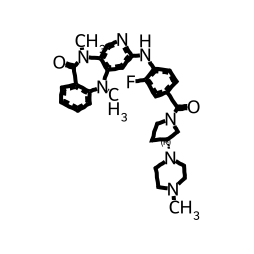 CN1CCN([C@@H]2CCN(C(=O)c3ccc(Nc4cc5c(cn4)N(C)C(=O)c4ccccc4N5C)c(F)c3)C2)CC1